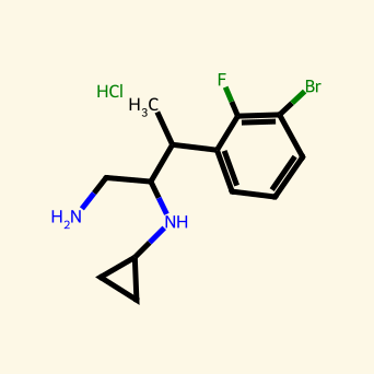 CC(c1cccc(Br)c1F)C(CN)NC1CC1.Cl